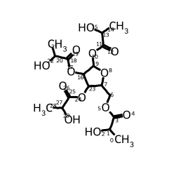 CC(O)C(=O)OCC1OC(OC(=O)C(C)O)C(OC(=O)C(C)O)C1OC(=O)C(C)O